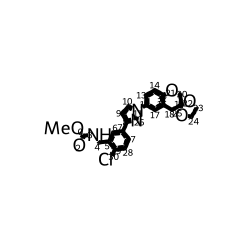 COC(=O)NCc1cc(-c2ccn(-c3ccc4c(c3)CC3(CO4)OCCO3)n2)ccc1Cl